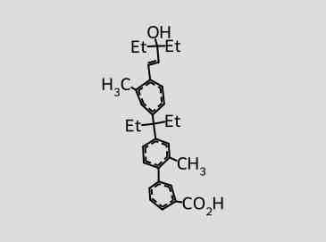 CCC(O)(/C=C/c1ccc(C(CC)(CC)c2ccc(-c3cccc(C(=O)O)c3)c(C)c2)cc1C)CC